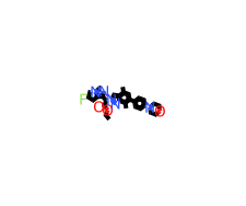 CCOC(=O)C(c1ncn2c1C[C@@H](F)C2)n1cc2c(C)cc(-c3ccc(N4CCOCC4)cc3)c(C)c2n1